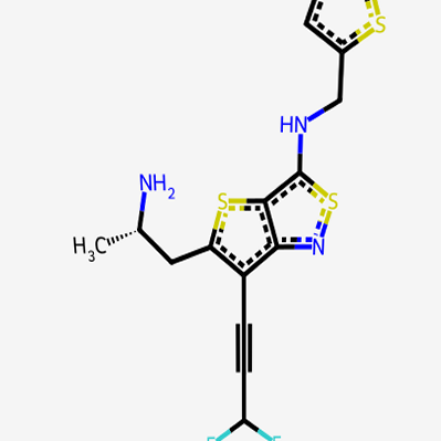 C[C@H](N)Cc1sc2c(NCc3cccs3)snc2c1C#CC(F)F